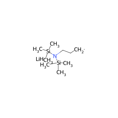 [CH2]CCN([Si](C)(C)C)[Si](C)(C)C.[LiH]